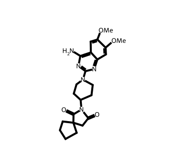 COc1cc2nc(N3CCC(N4C(=O)CC5(CCCC5)C4=O)CC3)nc(N)c2cc1OC